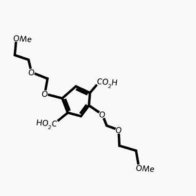 COCCOCOc1cc(C(=O)O)c(OCOCCOC)cc1C(=O)O